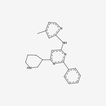 Cc1ccnc(Nc2cc(C3CCCNC3)nc(-c3ccccc3)n2)c1